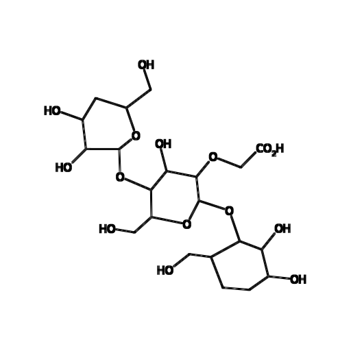 O=C(O)COC1C(OC2C(CO)CCC(O)C2O)OC(CO)C(OC2OC(CO)CC(O)C2O)C1O